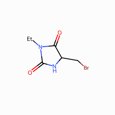 CCN1C(=O)NC(CBr)C1=O